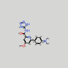 COc1cc(C(=O)Nc2nnn[nH]2)nc(-c2ccc(N(C)C)cc2)c1